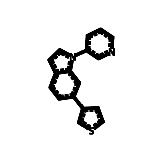 c1cncc(-n2ccc3ccc(-c4ccsc4)cc32)c1